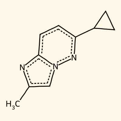 Cc1cn2nc(C3CC3)ccc2n1